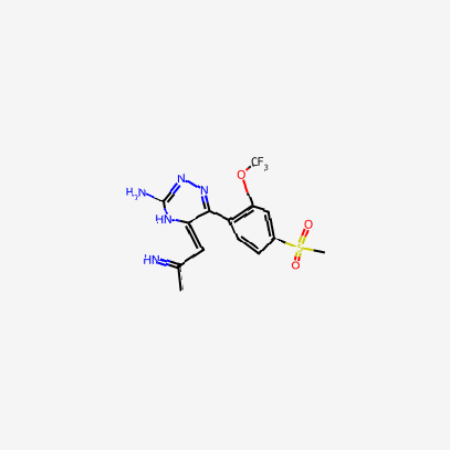 CC(=N)/C=C1\NC(N)=NN=C1c1ccc(S(C)(=O)=O)cc1OC(F)(F)F